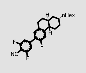 CCCCCC[C@@H]1CC[C@@H]2c3cc(F)c(-c4cc(F)c(C#N)c(F)c4)cc3CC[C@H]2C1